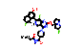 CCc1c(F)ccc2cc(O)cc(-c3ncc4c(N5CCC(C(=O)N(C)C(=O)COC)CC5)nc(OC[C@@]56CCCN5C[C@H](F)C6)nc4c3F)c12